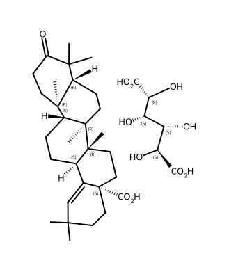 CC1(C)C=C2[C@H]3CC[C@@H]4[C@@]5(C)CCC(=O)C(C)(C)[C@@H]5CC[C@@]4(C)[C@]3(C)CC[C@@]2(C(=O)O)CC1.O=C(O)[C@@H](O)[C@@H](O)[C@H](O)[C@@H](O)C(=O)O